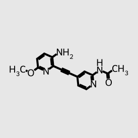 COc1ccc(N)c(C#Cc2ccnc(NC(C)=O)c2)n1